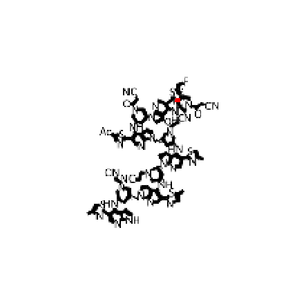 CC(=O)c1cnc(-c2cnc3c(ccn3C[C@H]3C[C@@H](Nc4c(-c5nc(C)cs5)cnc5c4ccn5[C@H]4C[C@@H](Nc5c(-c6ncc(C)s6)cnc6c5ccn6C[C@H]5C[C@@H](Nc6c(-c7nc(C)cs7)cnc7[nH]ccc67)CN(CCC#N)C5)CN(CCC#N)C4)CN(C(=O)CC#N)C3)c2N[C@@H]2C[C@H](n3ccc4c(N[C@@H]5C[C@H](C)CN(C(=O)CC#N)C5)c(-c5ncc(CF)s5)cnc43)CN(C(=O)CC#N)C2)s1